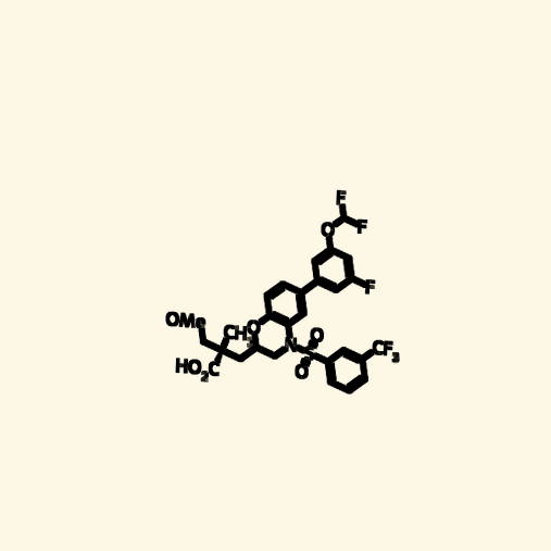 COC[C@](C)(CC1CN(S(=O)(=O)c2cccc(C(F)(F)F)c2)c2cc(-c3cc(F)cc(OC(F)F)c3)ccc2O1)C(=O)O